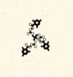 CCC(COC(=O)OOC(=O)c1c(C)cc(C)cc1C)(COC(=O)OOC(=O)c1c(C)cc(C)cc1C)COC(=O)OOC(=O)c1c(C)cc(C)cc1C